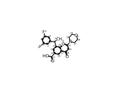 CC(c1cc(F)cc(F)c1)c1cc(C(=O)O)cc2c(=O)cc(N3CCOCC3)oc12